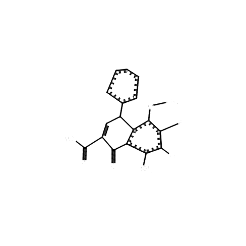 COc1c(F)c(Cl)c(N)c2c1C(c1ccccc1)C=C(C(=O)O)C2=O